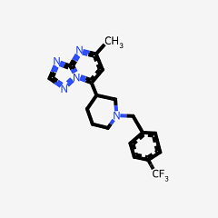 Cc1cc(C2CCCN(Cc3ccc(C(F)(F)F)cc3)C2)n2ncnc2n1